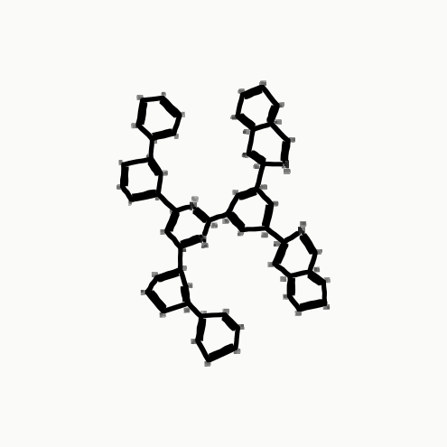 c1ccc(-c2cccc(-c3cc(-c4cccc(-c5ccccc5)c4)nc(-c4cc(-c5cc6ccccc6cn5)cc(-c5cc6ccccc6cn5)c4)n3)c2)cc1